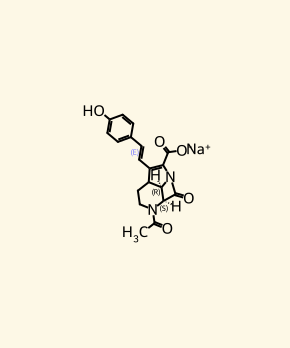 CC(=O)N1CCC2C(/C=C/c3ccc(O)cc3)=C(C(=O)[O-])N3C(=O)[C@@H]1[C@@H]23.[Na+]